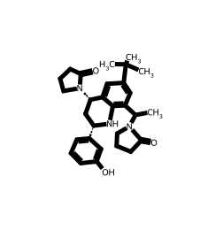 CC(c1cc(C(C)(C)C)cc2c1N[C@H](c1cccc(O)c1)C[C@@H]2N1CCCC1=O)N1CCCC1=O